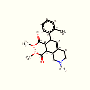 COC(=O)C1C2CN(C)CCC2=CC(c2ccccc2C)C1C(=O)OC